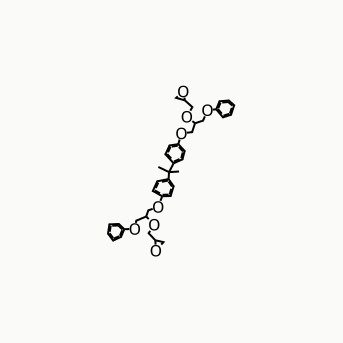 CC(C)(c1ccc(OCC(COc2ccccc2)OCC2CO2)cc1)c1ccc(OCC(COc2ccccc2)OCC2CO2)cc1